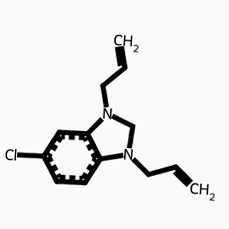 C=CCN1CN(CC=C)c2cc(Cl)ccc21